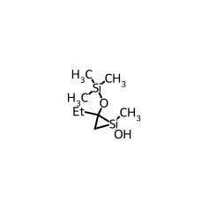 CCC1(O[Si](C)(C)C)C[Si]1(C)O